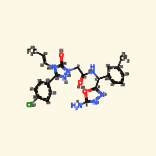 Nc1nnc(C(NC(=O)Cn2nc(-c3ccc(Cl)cc3)n(/C=C/C(F)(F)F)c2=O)c2cccc(C(F)(F)F)c2)o1